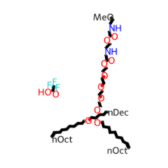 CCCCCCCC/C=C\CCCCCCCCOCC(OCCCCCCCC/C=C\CCCCCCCC)C(CCCCCCCCCCCC)OCCOCCOCCOCCOC(=O)CNCCOC(=O)CNCCOC.O=C(O)C(F)(F)F